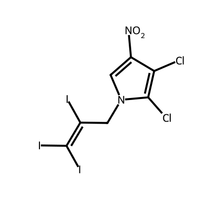 O=[N+]([O-])c1cn(CC(I)=C(I)I)c(Cl)c1Cl